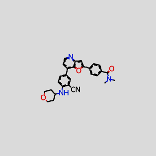 CN(C)C(=O)c1ccc(-c2cc3nccc(-c4ccc(NC5CCOCC5)c(C#N)c4)c3o2)cc1